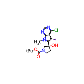 Cn1c(C2(O)CCN(C(=O)OC(C)(C)C)C2)c(I)c2c(Cl)ncnc21